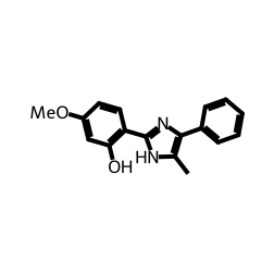 COc1ccc(-c2nc(-c3ccccc3)c(C)[nH]2)c(O)c1